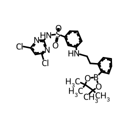 CC1(C)OB(c2ccccc2CCNc2cccc(S(=O)(=O)Nc3nc(Cl)cc(Cl)n3)c2)OC1(C)C